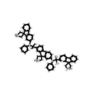 CCC(CC)(c1ccc2c(c1)C(CC(C)C)(CC(C)C)c1ccccc1-2)N(c1ccccc1)c1ccc2c(c1)C(CC(C)C)(CC(C)C)c1cc(C(C)(C)N(c3ccccc3)c3ccc4c(c3)C(CC(C)C)(CC(C)C)c3ccccc3-4)ccc1-2